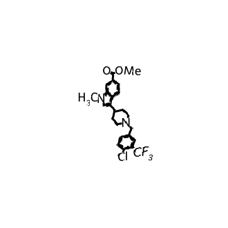 COC(=O)c1ccc2c(C3CCN(Cc4ccc(Cl)c(C(F)(F)F)c4)CC3)cn(C)c2c1